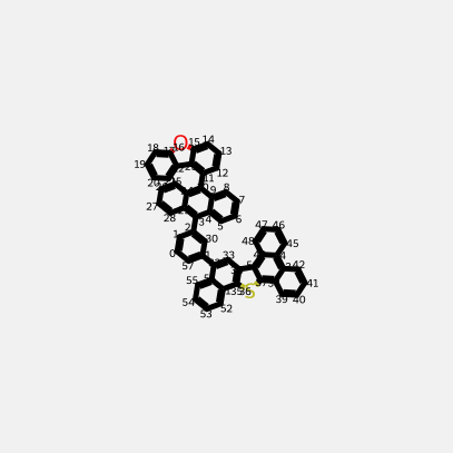 c1cc(-c2c3ccccc3c(-c3cccc4oc5ccccc5c34)c3ccccc23)cc(-c2cc3c(sc4c5ccccc5c5ccccc5c34)c3ccccc23)c1